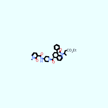 CCOC(=O)CC(C)NC(=O)[C@@]1(c2ccccc2)CC[C@H](C(=O)N2CCC(NC(=O)c3cccn(C)c3=O)CC2)c2ccccc21